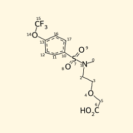 CN(CCOCC(=O)O)S(=O)(=O)c1ccc(OC(F)(F)F)cc1